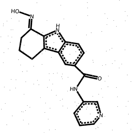 O=C(Nc1cccnc1)c1ccc2[nH]c3c(c2c1)CCC/C3=N\O